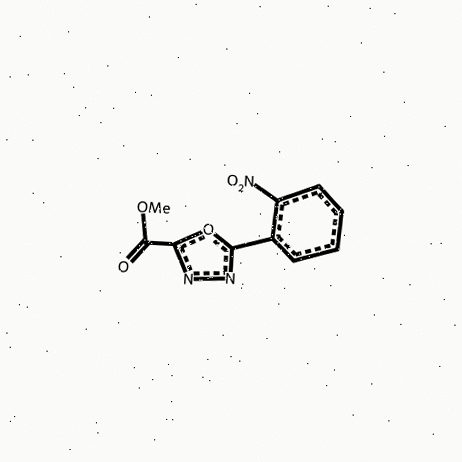 COC(=O)c1nnc(-c2ccccc2[N+](=O)[O-])o1